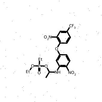 CCOP(=O)(CC)OC(C)Nc1cc(Oc2ccc(C(F)(F)F)cc2[N+](=O)[O-])ccc1[N+](=O)[O-]